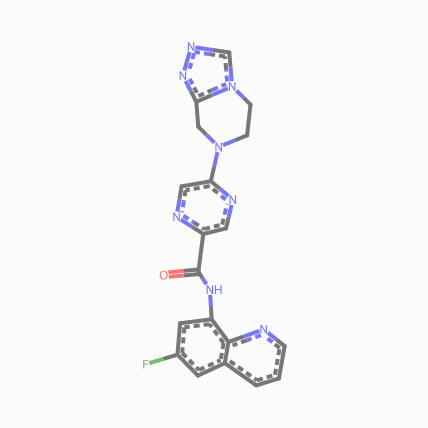 O=C(Nc1cc(F)cc2cccnc12)c1cnc(N2CCn3cnnc3C2)cn1